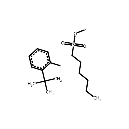 CC(C)(C)c1ccccc1I.CCCCCCS(=O)(=O)OF